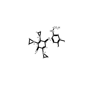 Cc1ccc(NC(=O)O)cc1C.O=C1C=C(N2CC2)C(=O)C(N2CC2)=C1N1CC1